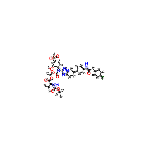 COc1cc(S(C)(=O)=O)ccc1N(C(=O)OC(C)OC(=O)[C@@H](NC(=O)OC(C)(C)C)C(C)C)c1nc2ccc(-c3ccc(NC(=O)Cc4ccc(F)cc4)cc3)cn2n1